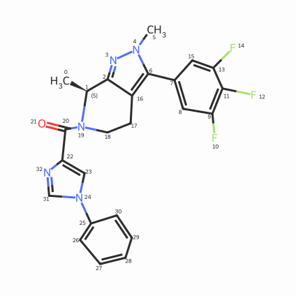 C[C@H]1c2nn(C)c(-c3cc(F)c(F)c(F)c3)c2CCN1C(=O)c1cn(-c2ccccc2)cn1